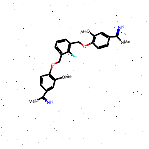 CNC(=N)c1ccc(OCc2cccc(COc3ccc(C(=N)NC)cc3OC)c2F)c(OC)c1